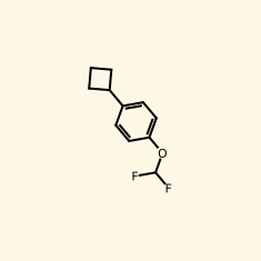 FC(F)Oc1ccc(C2CCC2)cc1